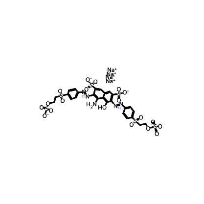 Nc1c(/N=N/c2ccc(S(=O)(=O)CCOS(=O)(=O)[O-])cc2)c(S(=O)(=O)[O-])cc2cc(S(=O)(=O)[O-])c(/N=N/c3ccc(S(=O)(=O)CCOS(=O)(=O)[O-])cc3)c(O)c12.[Na+].[Na+].[Na+].[Na+]